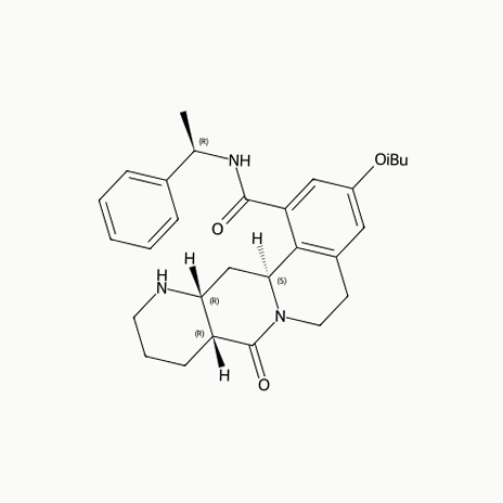 CC(C)COc1cc2c(c(C(=O)N[C@H](C)c3ccccc3)c1)[C@@H]1C[C@H]3NCCC[C@H]3C(=O)N1CC2